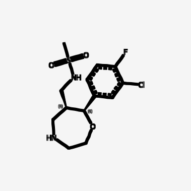 CS(=O)(=O)NC[C@@H]1CNCCO[C@@H]1c1ccc(F)c(Cl)c1